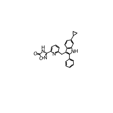 O=c1[nH]c(-c2cccc(Cc3c(-c4ccccc4)[nH]c4cc(C5CC5)ccc34)n2)no1